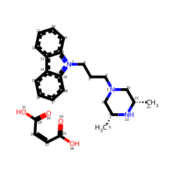 C[C@@H]1CN(CCCn2c3ccccc3c3ccccc32)C[C@H](C)N1.O=C(O)/C=C\C(=O)O